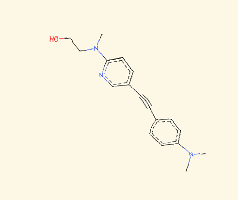 CN(C)c1ccc(C#Cc2ccc(N(C)CCO)nc2)cc1